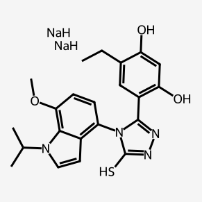 CCc1cc(-c2nnc(S)n2-c2ccc(OC)c3c2ccn3C(C)C)c(O)cc1O.[NaH].[NaH]